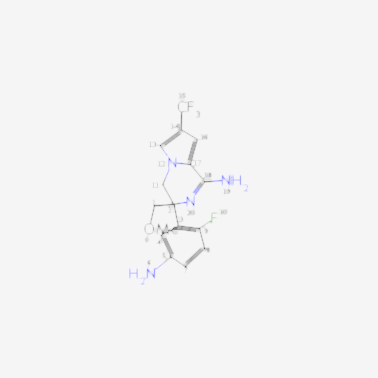 COCC1(c2cc(N)ccc2F)Cn2cc(C(F)(F)F)cc2C(N)=N1